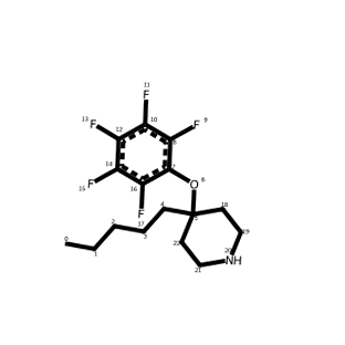 CCCCCC1(Oc2c(F)c(F)c(F)c(F)c2F)CCNCC1